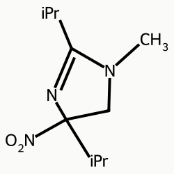 CC(C)C1=NC(C(C)C)([N+](=O)[O-])CN1C